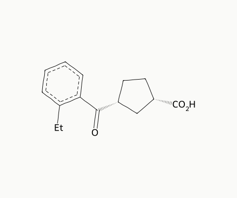 CCc1ccccc1C(=O)[C@@H]1CC[C@H](C(=O)O)C1